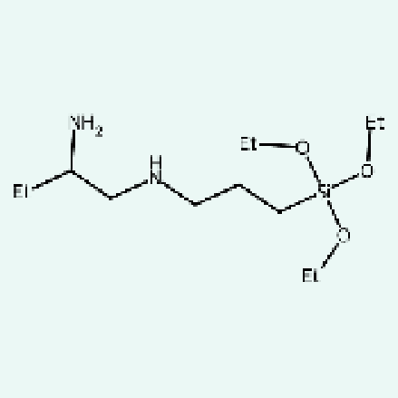 CCO[Si](CCCNCC(N)CC)(OCC)OCC